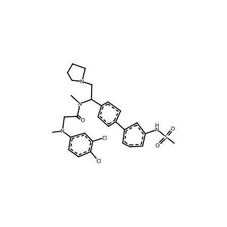 CN(CC(=O)N(C)C(CN1CCCC1)c1ccc(-c2cccc(NS(C)(=O)=O)c2)cc1)c1ccc(Cl)c(Cl)c1